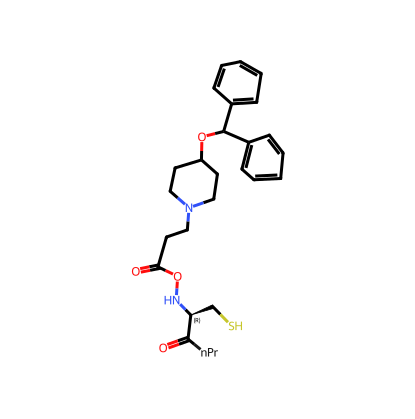 CCCC(=O)[C@H](CS)NOC(=O)CCN1CCC(OC(c2ccccc2)c2ccccc2)CC1